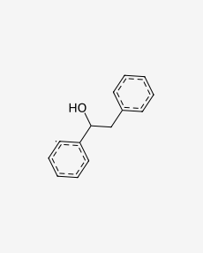 OC(Cc1ccccc1)c1[c]cccc1